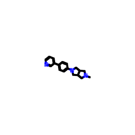 CN1CC2CN(c3ccc(-c4cccnc4)cc3)CC2C1